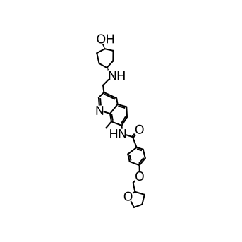 Cc1c(NC(=O)c2ccc(OCC3CCCO3)cc2)ccc2cc(CN[C@H]3CC[C@H](O)CC3)cnc12